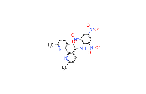 Cc1ccc2cc(Nc3c([N+](=O)[O-])cc([N+](=O)[O-])cc3[N+](=O)[O-])c3ccc(C)nc3c2n1